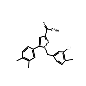 COC(=O)c1cc(-c2ccc(C)c(C)c2)n(Cc2ccc(C)c(Cl)c2)n1